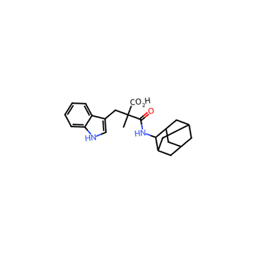 CC(Cc1c[nH]c2ccccc12)(C(=O)O)C(=O)NC1C2CC3CC(C2)CC1C3